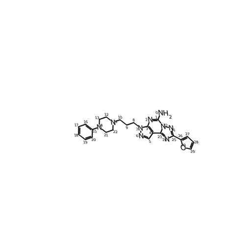 Nc1nc2c(cnn2CCCN2CCN(c3ccccc3)CC2)c2nc(-c3ccco3)nn12